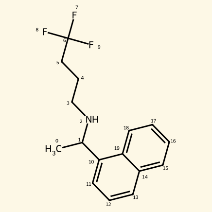 CC(NCCCC(F)(F)F)c1cccc2ccccc12